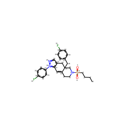 CCCCS(=O)(=O)N1CCC2=Cc3c(cnn3-c3ccc(F)cc3)CC2(Cc2ccc(F)cc2)C1